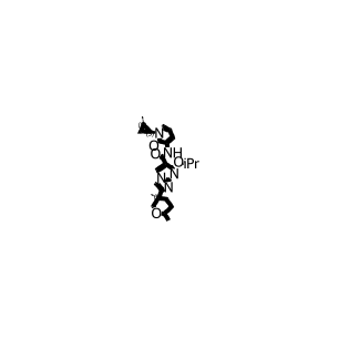 CC(C)Oc1nc2nc([C@@]3(C)CCC(C)OC3)cn2cc1C(=O)Nc1cccn([C@H]2C[C@@H]2C)c1=O